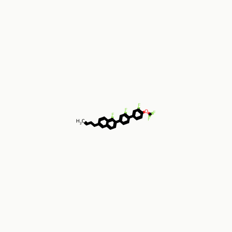 C=CCCc1ccc2c(F)c(-c3ccc(-c4ccc(OC(F)F)c(F)c4)c(F)c3)ccc2c1